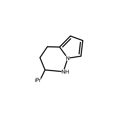 CC(C)C1CCc2cccn2N1